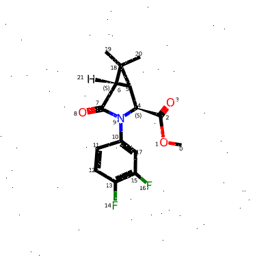 COC(=O)[C@@H]1C2[C@H](C(=O)N1c1ccc(F)c(F)c1)C2(C)C